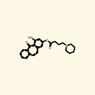 O=C(CCCN1CCCCC1)Oc1cc(O)c2c(=O)c3ccccc3ccc2c1